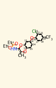 CCOP(=O)(CC)NC(=O)C(C)Oc1ccc(Oc2ccc(C(F)(F)F)cc2Cl)cc1